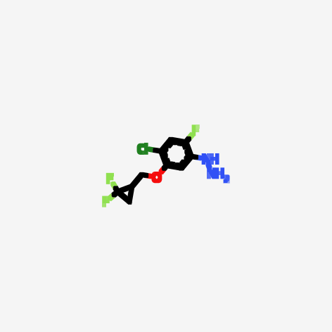 NNc1cc(OCC2CC2(F)F)c(Cl)cc1F